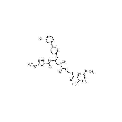 COC(=O)NC(C(=O)OCOC(=O)C(O)CC(Cc1ccc(-c2cccc(Cl)c2)cc1)NC(=O)c1cc(OC)no1)C(C)C